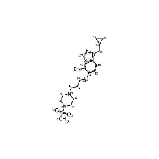 CS(=O)(=O)N1CCN(CCCOc2ccc3c(nnn3CC3CC3)c2Br)CC1